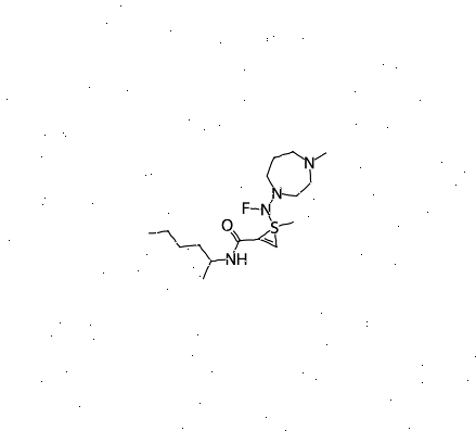 CCCCC(C)NC(=O)C1=CS1(C)N(F)N1CCCN(C)CC1